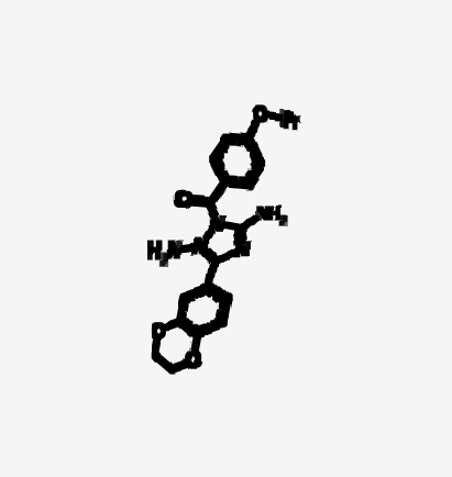 CC(C)Oc1ccc(C(=O)N2C(N)=NC(c3ccc4c(c3)OCCO4)N2N)cc1